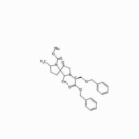 CC1CCC2(C(=O)CN([C@@H](COCc3ccccc3)C(=O)OCc3ccccc3)C2C)N1C(=O)OC(C)(C)C